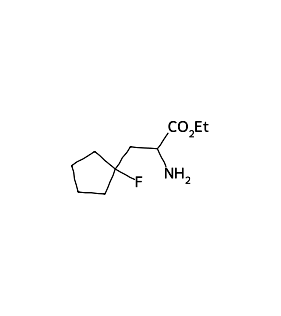 CCOC(=O)C(N)CC1(F)CCCC1